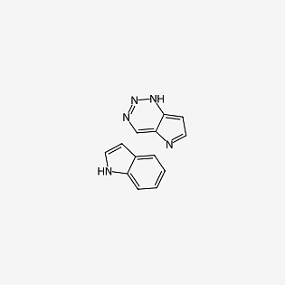 c1cc2[nH]nncc-2n1.c1ccc2[nH]ccc2c1